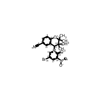 CC1(C)Oc2ccc(C#N)cc2C(n2cc(Br)cc([N+](=O)[O-])c2=O)C1(C)O